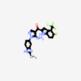 Cc1nc2cc(-n3ncc(C(=O)c4cc5c(C(F)(F)F)c(F)ccc5[nH]4)c3N)ccc2[nH]1